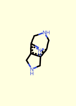 C1NCc2[nH]c1c1c2CNC1